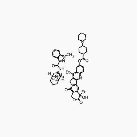 CCc1c2c(nc3ccc(OC(=O)N4CCC(N5CCCCC5)CC4)cc13)-c1cc3c(c(=O)n1C2)COC(=O)[C@]3(O)CC.CN1[C@@H]2CCC[C@H]1C[C@@H](NC(=O)c1nn(C)c3ccccc13)C2